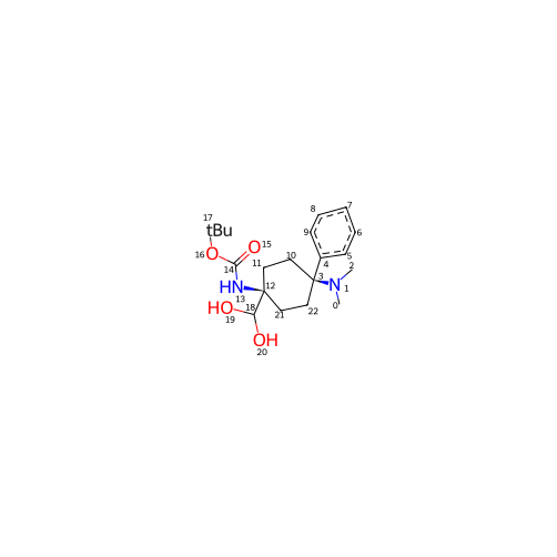 CN(C)[C@]1(c2ccccc2)CC[C@@](NC(=O)OC(C)(C)C)(C(O)O)CC1